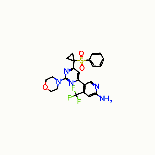 Nc1cc(C(F)(F)F)c(-c2cc(C3(S(=O)(=O)c4ccccc4)CC3)nc(N3CCOCC3)n2)cn1